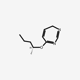 CCC[C@@H](C)OC1=NC=NCC=C1